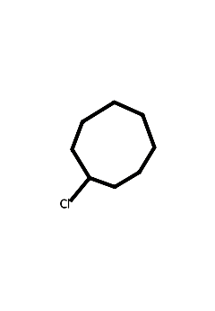 ClC1CCCCCCC1